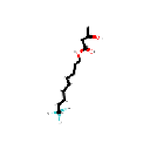 CC(=O)CC(=O)OCCCCCCCCC(F)(F)F